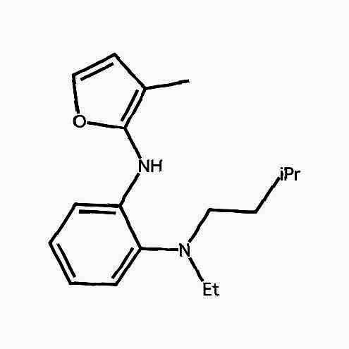 CCN(CCC(C)C)c1ccccc1Nc1occc1C